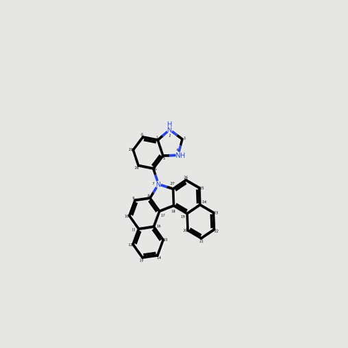 C1=C2NCNC2=C(n2c3ccc4ccccc4c3c3c4ccccc4ccc32)CC1